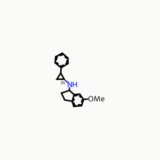 COc1ccc2c(c1)C(N[C@H]1CC1c1ccccc1)CC2